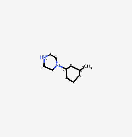 CC1CCCC(N2CCNCC2)C1